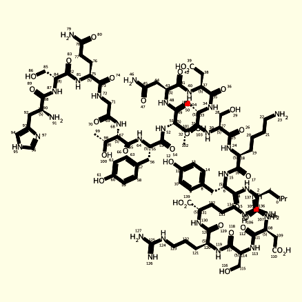 CC(C)C[C@H](NC(=O)[C@H](Cc1ccc(O)cc1)NC(=O)[C@H](CCCCN)NC(=O)[C@H](CO)NC(=O)[C@@H](NC(=O)[C@H](CC(=O)O)NC(=O)[C@H](CC(N)=O)NC(=O)[C@@H](NC(=O)[C@H](Cc1ccc(O)cc1)NC(=O)[C@@H](NC(=O)CNC(=O)[C@H](CCC(N)=O)NC(=O)[C@@H](CO)NC(=O)[C@@H](N)Cc1c[nH]cn1)[C@@H](C)O)[C@@H](C)O)C(C)C)C(=O)N[C@@H](CC(=O)O)C(=O)N[C@@H](CO)C(=O)N[C@@H](CCCNC(=N)N)C(=O)N[C@@H](CCCNC(=N)N)C(=O)O